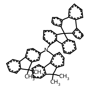 CC1(C)c2ccccc2-c2ccc(N(c3cccc4c3-c3ccccc3C4(C)C)c3cccc4c3-c3ccccc3C43c4ccccc4-c4ccccc4-c4ccccc43)cc21